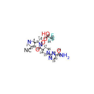 N#Cc1cncc([C@H]2CCON2C(=O)C2CCN(c3nccc(C(N)=O)n3)CC2)c1.O=C(O)C(F)(F)F